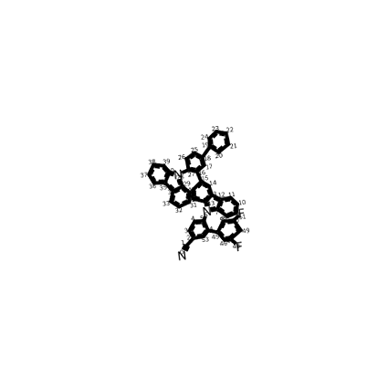 N#Cc1ccc(-n2c3ccccc3c3cc(-c4cc(-c5ccccc5)ccc4-n4c5ccccc5c5ccccc54)ccc32)c(-c2cc(F)cc(F)c2)c1